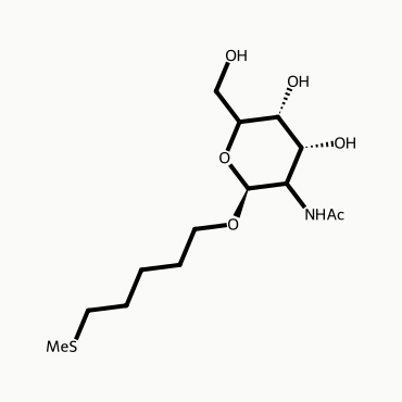 CSCCCCCO[C@H]1OC(CO)[C@H](O)[C@H](O)C1NC(C)=O